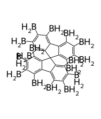 Bc1c(B)c(B)c2c(c1B)-c1c(B)c(B)c(B)c(B)c1C21c2c(B)c(B)c(B)c(B)c2-c2c(B)c(B)c(B)c(B)c21